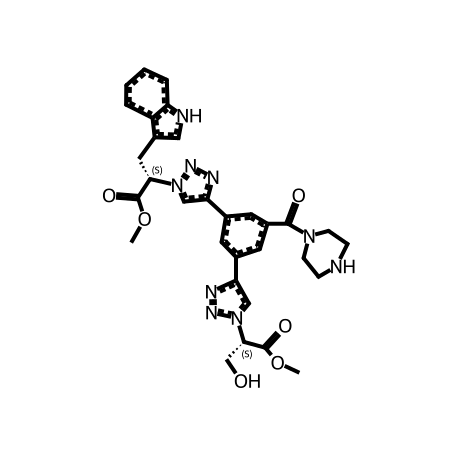 COC(=O)[C@H](CO)n1cc(-c2cc(C(=O)N3CCNCC3)cc(-c3cn([C@@H](Cc4c[nH]c5ccccc45)C(=O)OC)nn3)c2)nn1